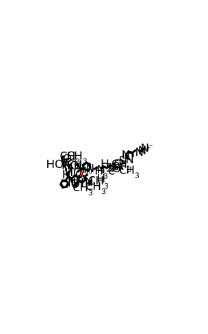 CCC(O)(COC)CN(C)CCc1c(Cc2cc(C[C@H]3N(CCNCCC[Si](C)(C)O[Si](C)(C)CSc4ncc(CN=[N+]=[N-])cn4)CC=C[C@@]3(CC)[C@@H](O)CO)c(N(C)C)cc2OC)[nH]c2ccccc12